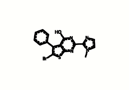 Cn1ccnc1-c1nc(O)c2c(-c3ccccc3)c(Br)sc2n1